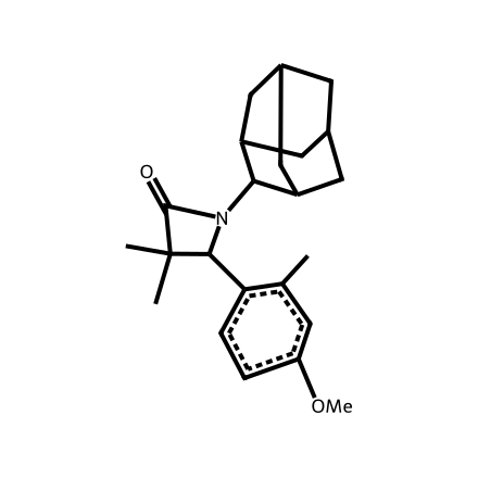 COc1ccc(C2N(C3C4CC5CC(C4)CC3C5)C(=O)C2(C)C)c(C)c1